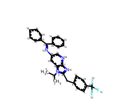 CC(C)n1c(Cc2ccc(C(F)(F)F)cc2)nc2ncc(N=C(c3ccccc3)c3ccccc3)cc21